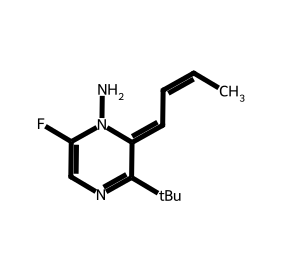 C/C=C\C=C1\C(C(C)(C)C)=NC=C(F)N1N